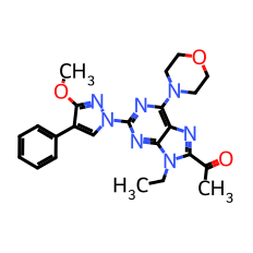 CCn1c(C(C)=O)nc2c(N3CCOCC3)nc(-n3cc(-c4ccccc4)c(OC)n3)nc21